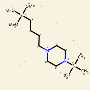 CO[Si](CCCCN1CCN([Si](C)(C)C(C)(C)C)CC1)(OC)OC